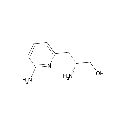 Nc1cccc(C[C@@H](N)CO)n1